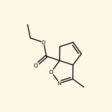 CCOC(=O)C12CC=CC1C(C)=NO2